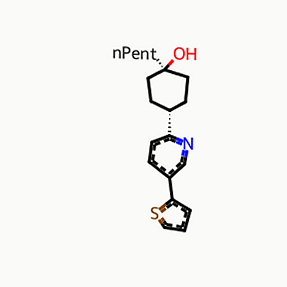 CCCCC[C@]1(O)CC[C@H](c2ccc(-c3cccs3)cn2)CC1